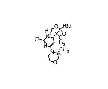 C[C@H]1COCCN1c1cc(C(C)(C)S(=O)(=O)C(C)(C)C)nc(Cl)n1